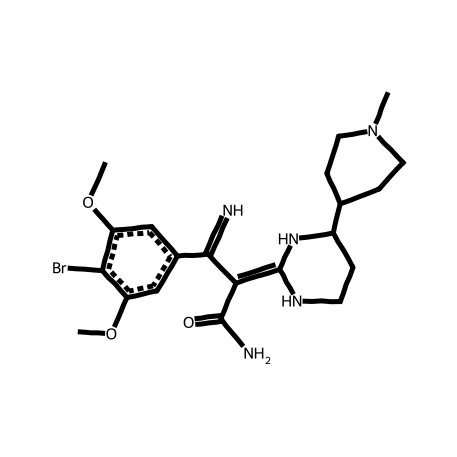 COc1cc(C(=N)/C(C(N)=O)=C2/NCCC(C3CCN(C)CC3)N2)cc(OC)c1Br